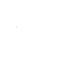 O=C(O)CC(S)CCCCCS